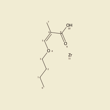 CCCCOC=C(C)C(=O)O.[Zr]